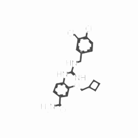 N=C(NCc1ccc(Cl)c(Cl)c1)Nc1ccc(C(N)=O)cc1OCC1CCC1